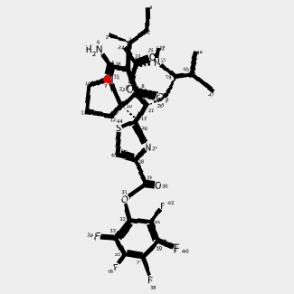 CC[C@H](C)[C@](C(N)=O)(C(=O)[C@@]1(C)CCCN1C)N(C)[C@H](C[C@@H](OC(C)=O)c1nc(C(=O)Oc2c(F)c(F)c(F)c(F)c2F)cs1)C(C)C